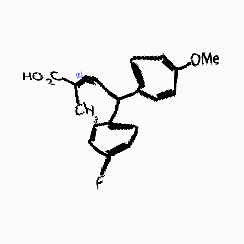 COc1ccc(C(/C=C(\C)C(=O)O)c2ccc(F)cc2)cc1